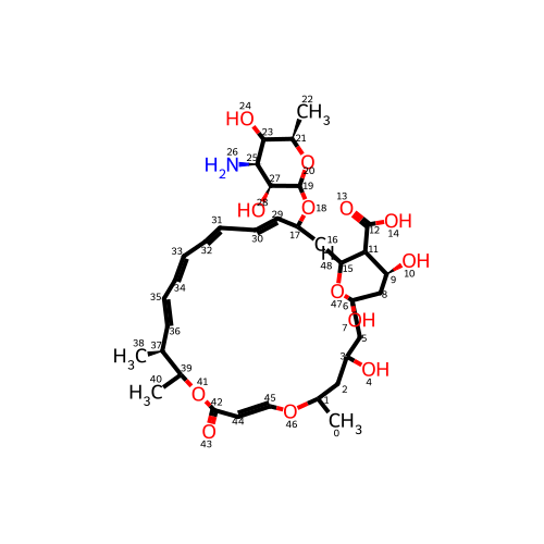 CC1CC(O)CC2(O)C[C@H](O)C(C(=O)O)[C@H](CC(OC3O[C@H](C)C(O)[C@H](N)[C@@H]3O)/C=C/C=C/C=C/C=C/[C@H](C)C(C)OC(=O)/C=C/O1)O2